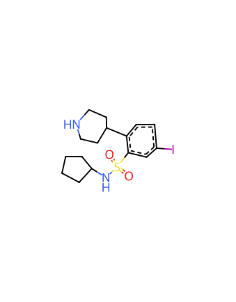 O=S(=O)(NC1CCCC1)c1cc(I)ccc1C1CCNCC1